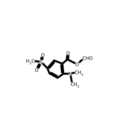 CN(C)c1ccc(S(C)(=O)=O)cc1C(=O)OC=O